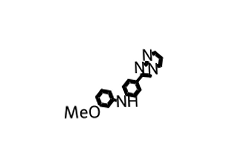 COc1cccc(Nc2ccc(-c3cn4cccnc4n3)cc2)c1